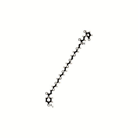 CC1CCN(C(=O)CCOCCOCCOCCOCCOCCOCCOCCOCCNC(=O)CCN2C(=O)C=CC2=O)CC1